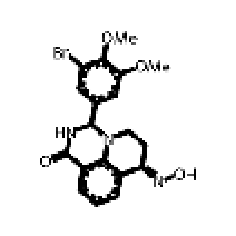 COc1cc(C2NC(=O)c3cccc4c3N2CCC4=NO)cc(Br)c1OC